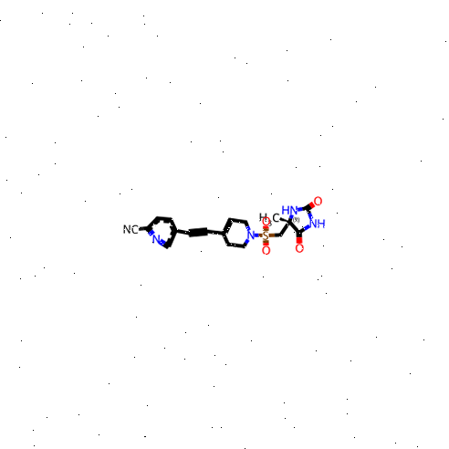 C[C@@]1(CS(=O)(=O)N2CC=C(C#Cc3ccc(C#N)nc3)CC2)NC(=O)NC1=O